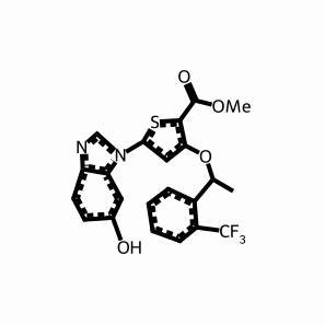 COC(=O)c1sc(-n2cnc3ccc(O)cc32)cc1OC(C)c1ccccc1C(F)(F)F